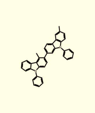 Cc1ccc2c(c1)c1ccc(-c3ccc4c(c3C)c3ccccc3n4-c3ccccc3)cc1n2-c1ccccc1